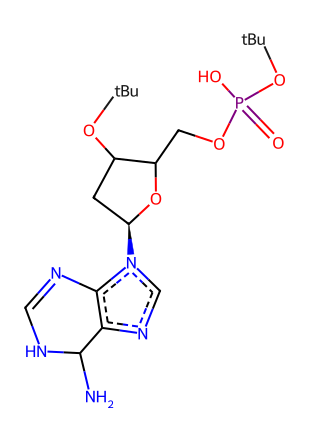 CC(C)(C)OC1C[C@H](n2cnc3c2N=CNC3N)OC1COP(=O)(O)OC(C)(C)C